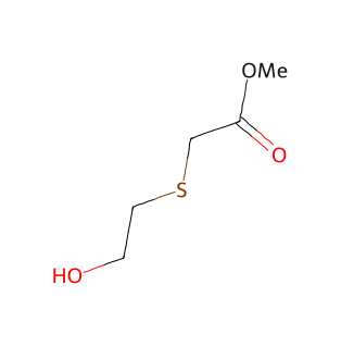 COC(=O)CSCCO